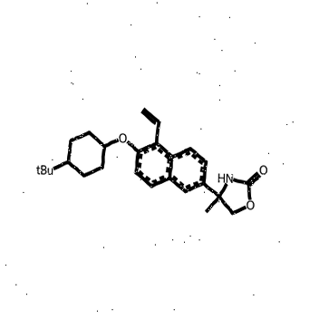 C=Cc1c(OC2CCC(C(C)(C)C)CC2)ccc2cc(C3(C)COC(=O)N3)ccc12